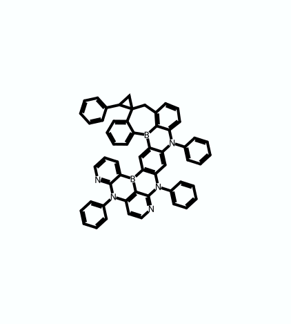 c1ccc(C2CC23Cc2cccc4c2B(c2cc5c(cc2N4c2ccccc2)N(c2ccccc2)c2nccc4c2B5c2cccnc2N4c2ccccc2)c2ccccc23)cc1